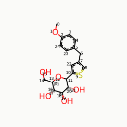 COc1ccc(Cc2csc(C3O[C@H](CO)[C@@H](O)[C@H](O)[C@H]3O)c2)cc1